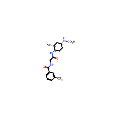 CC(=O)[C@@H]1C[C@H](NC(=O)O)CC[C@@H]1NC(=O)CNC(=O)c1cccc(C(F)(F)F)c1